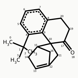 CC(C)(C)c1cccc2c1C1(CC3=CCC1C3)C(=O)CC2